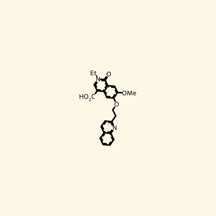 CCn1cc(C(=O)O)c2cc(OCCc3ccc4ccccc4n3)c(OC)cc2c1=O